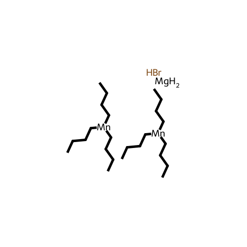 Br.CCC[CH2][Mn]([CH2]CCC)[CH2]CCC.CCC[CH2][Mn]([CH2]CCC)[CH2]CCC.[MgH2]